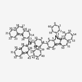 c1ccc(-n2c3cc(-c4ccc(N(c5ccc6ccc7ccccc7c6c5)c5cc6ccccc6c6c5-c5ccccc5C6)cc4)ccc3c3ccc4ccccc4c32)cc1